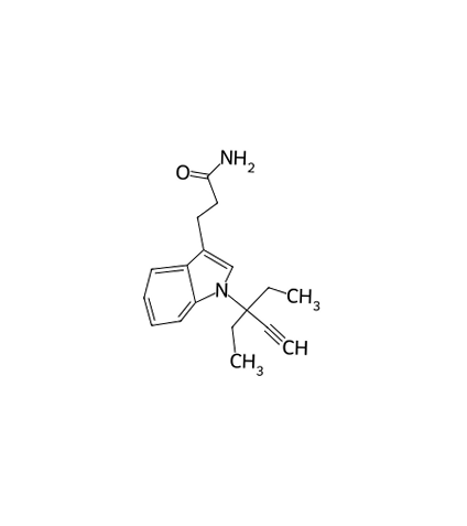 C#CC(CC)(CC)n1cc(CCC(N)=O)c2ccccc21